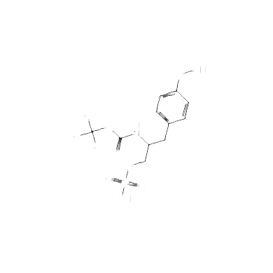 COc1ccc(CC(COS(C)(=O)=O)NC(=O)OC(C)(C)C)cc1